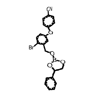 N#Cc1ccc(Oc2ccc(Br)c(COB3OCC(c4ccccc4)O3)c2)cc1